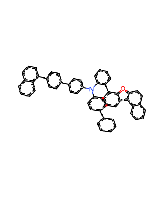 c1ccc(-c2ccc(N(c3ccc(-c4ccc(-c5cccc6ccccc56)cc4)cc3)c3ccccc3-c3cccc4c3oc3ccc5ccccc5c34)cc2)cc1